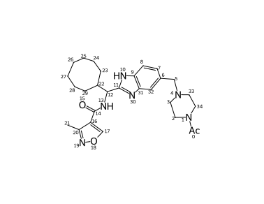 CC(=O)N1CCN(Cc2ccc3[nH]c(C(NC(=O)c4conc4C)C4CCCCCCC4)nc3c2)CC1